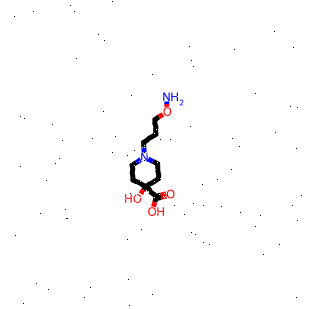 NOCCCN1CCC(O)(C(=O)O)CC1